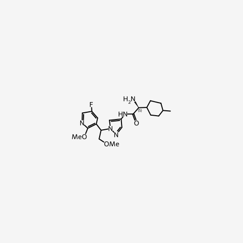 COCC(c1cc(F)cnc1OC)n1cc(NC(=O)[C@@H](N)C2CCC(C)CC2)cn1